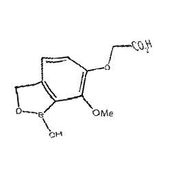 COc1c(OCC(=O)O)ccc2c1B(O)OC2